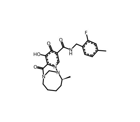 Cc1ccc(CNC(=O)c2cn3c(c(O)c2=O)C(=O)N2CCCC[C@H](C)N3C2)c(F)c1